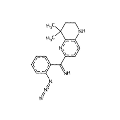 CC1(C)CCNc2ccc(C(=N)c3ccccc3N=[N+]=[N-])nc21